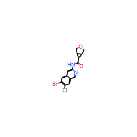 O=C(Nc1cc2cc(Br)c(Cl)cc2cn1)C1C2COCC21